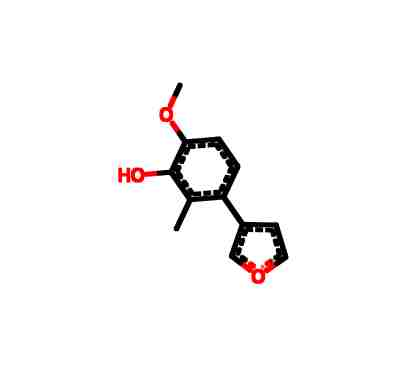 COc1ccc(-c2ccoc2)c(C)c1O